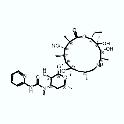 CC[C@H]1OC(=O)[C@H](C)[C@@H](O)[C@H](C)[C@@H](O[C@@H]2O[C@H](C)C[C@H](N(C)C(=O)Nc3ccccn3)[C@H]2O)[C@](C)(O)C[C@@H](C)CN[C@H](C)[C@@H](O)[C@]1(C)O